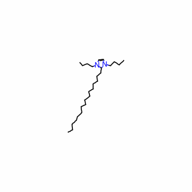 CCCCCCCCCCCCCCCCC1N(CCCC)C=CN1CCCC